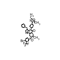 C=C1N=C(c2ccc(-n3c(=O)c4c(n5ncc(Cc6ccccc6)c35)CN(C(=O)c3ccc(Br)c(C(F)(F)F)c3)[C@@H](C)C4)cc2)N(C)O1